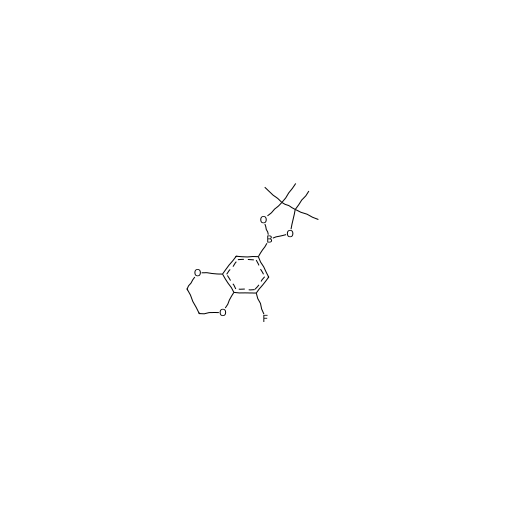 CC1(C)OB(c2cc(F)c3c(c2)OCCO3)OC1(C)C